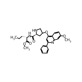 CCC[C@H](NC(=O)[C@@H]1CC(Oc2cc(-c3ccccc3)nc3cc(OC)ccc23)CN1)C(=O)OC